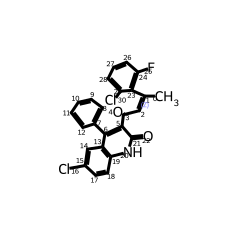 C/C(=C/C(=O)c1c(-c2ccccc2)c2cc(Cl)ccc2[nH]c1=O)c1c(F)cccc1Cl